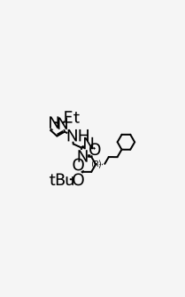 CCn1nccc1NCc1noc([C@H](CCCC2CCCCC2)CC(=O)OC(C)(C)C)n1